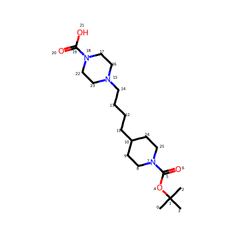 CC(C)(C)OC(=O)N1CCC(CCCCN2CCN(C(=O)O)CC2)CC1